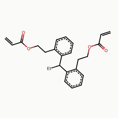 C=CC(=O)OCCc1ccccc1C(CC)c1ccccc1CCOC(=O)C=C